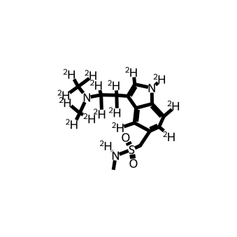 [2H]c1c(CS(=O)(=O)N([2H])C)c([2H])c2c(C([2H])([2H])C([2H])([2H])N(C([2H])([2H])[2H])C([2H])([2H])[2H])c([2H])n([2H])c2c1[2H]